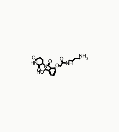 NCCCCNC(=O)COc1cccc2c1C(=O)N(C1CCC(=O)NC1=O)C2O